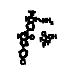 CN(C)c1nc2cc(-n3cnc4cc(-c5ccc(Cl)cc5)sc4c3=O)ccc2n1CCN.O=C(O)C(F)(F)F